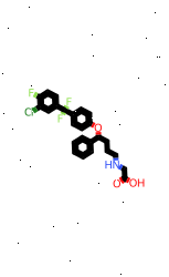 O=C(O)CNCCCC(Oc1ccc(C(F)(F)c2ccc(F)c(Cl)c2)cc1)c1ccccc1